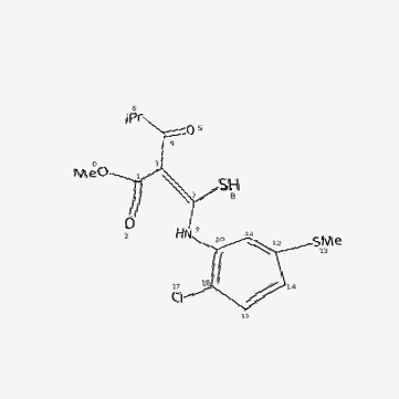 COC(=O)/C(C(=O)C(C)C)=C(/S)Nc1cc(SC)ccc1Cl